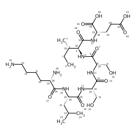 CC[C@H](C)[C@H](NC(=O)[C@H](CO)NC(=O)[C@H](CO)NC(=O)[C@H](CC(C)C)NC(=O)[C@@H](N)CCCCN)C(=O)N[C@@H](CCC(=O)O)C(=O)O